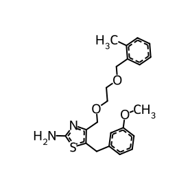 COc1cccc(Cc2sc(N)nc2COCCOCc2ccccc2C)c1